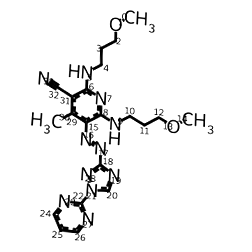 COCCCNc1nc(NCCCOC)c(/N=N/c2ncn(-c3ncccn3)n2)c(C)c1C#N